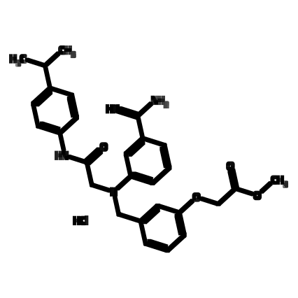 COC(=O)COc1cccc(CN(CC(=O)Nc2ccc(C(C)C)cc2)c2cccc(C(=N)N)c2)c1.Cl